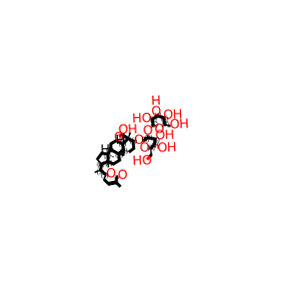 CC1=CC[C@@H]([C@@H](C)[C@H]2CC[C@@]3(C)[C@@H]4CC[C@H]5[C@](C)(C(=O)O)[C@@H](O[C@@H]6O[C@H](CO)[C@@H](O)[C@H](O)[C@H]6O[C@@H]6O[C@H](CO)[C@@H](O)[C@H](O)[C@H]6O)CC[C@@]56C[C@@]46CC[C@]23C)OC1=O